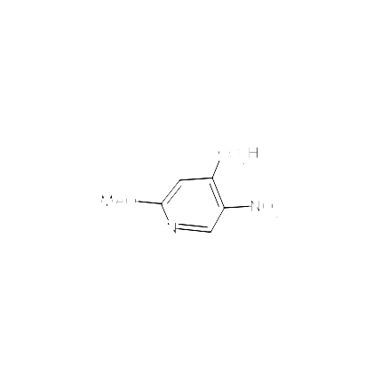 COc1cc(C(=O)O)c([N+](=O)[O-])cn1